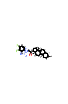 C[C@H]1CC[C@@]2(C)C(CC[C@@H]3C2CC[C@@]2(C)C3CC[C@@H]2C(=O)CNc2ccc(F)c(F)c2N)C1